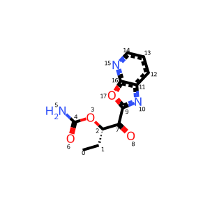 CC[C@H](OC(N)=O)C(=O)c1nc2cccnc2o1